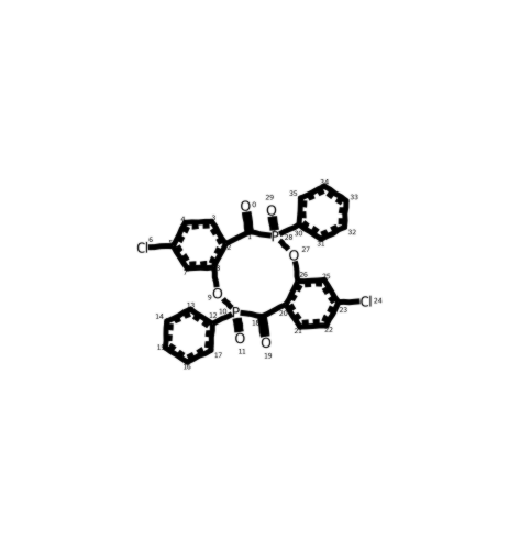 O=C1c2ccc(Cl)cc2OP(=O)(c2ccccc2)C(=O)c2ccc(Cl)cc2OP1(=O)c1ccccc1